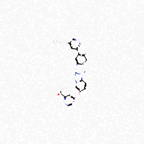 CNC(=O)c1cc(Oc2ccc3c(c2)nc(Nc2ccc(Cl)c(-c4cncc(OC)c4)c2)n3C)ccn1